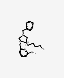 Nc1cccc(C[C@H]2CN(Cc3ccccc3)C[C@H]2NCCCO)n1